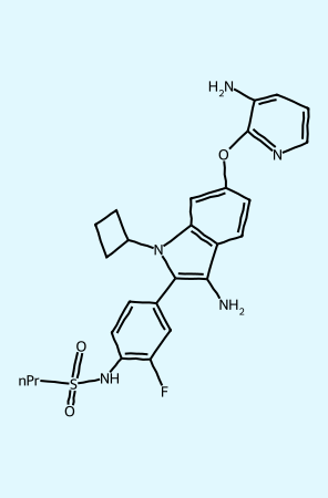 CCCS(=O)(=O)Nc1ccc(-c2c(N)c3ccc(Oc4ncccc4N)cc3n2C2CCC2)cc1F